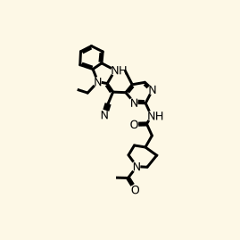 CCN1/C(=C(\C#N)c2nc(NC(=O)CC3CCN(C(C)=O)CC3)ncc2C)Nc2ccccc21